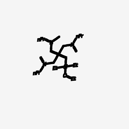 CCCN(C)CC(CN(C)CCC)(CN(C)CCC)C[Si](CC)(CC)OCC